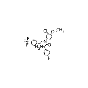 CCOc1ccc(N(CCc2ccc(C(F)(F)F)cc2)C(=O)[C@H](N)c2ccc(F)cc2)cc1Cl